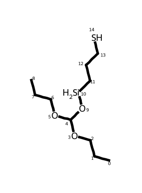 CCCOC(OCCC)O[SiH2]CCCS